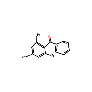 CC(C)c1cc(C(C)C)c(C(=O)c2ccccc2)c(C(C)C)c1